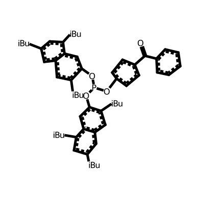 CCC(C)c1cc(C(C)CC)c2cc(OP(Oc3ccc(C(=O)c4ccccc4)cc3)Oc3cc4c(C(C)CC)cc(C(C)CC)cc4cc3C(C)CC)c(C(C)CC)cc2c1